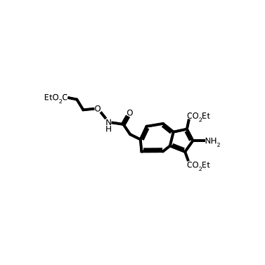 CCOC(=O)CCONC(=O)Cc1ccc2c(C(=O)OCC)c(N)c(C(=O)OCC)c-2cc1